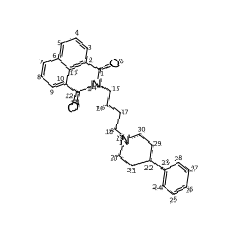 O=C1c2cccc3cccc(c23)C(=O)N1CCCCN1CCC(c2ccccc2)CC1